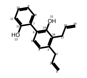 C=CCc1ccc(-c2ccccc2O)c(O)c1CC=C